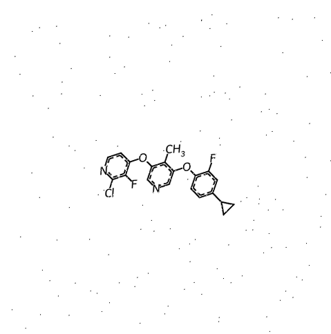 Cc1c(Oc2ccc(C3CC3)cc2F)cncc1Oc1ccnc(Cl)c1F